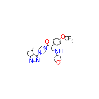 C[C@@H]1CCc2ncnc(N3CCN(C(=O)[C@H](CNC4CCOCC4)c4ccc(OC(F)(F)F)cc4)CC3)c21